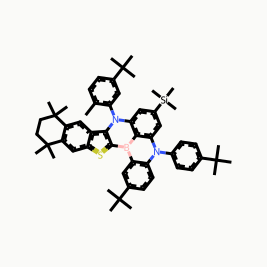 Cc1ccc(C(C)(C)C)cc1N1c2cc([Si](C)(C)C)cc3c2B(c2cc(C(C)(C)C)ccc2N3c2ccc(C(C)(C)C)cc2)c2sc3cc4c(cc3c21)C(C)(C)CCC4(C)C